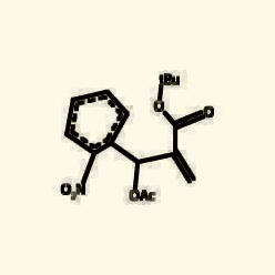 C=C(C(=O)OC(C)(C)C)C(OC(C)=O)c1ccccc1[N+](=O)[O-]